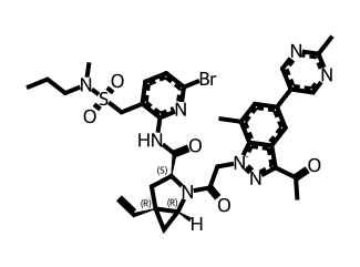 C=C[C@@]12C[C@@H](C(=O)Nc3nc(Br)ccc3CS(=O)(=O)N(C)CCC)N(C(=O)Cn3nc(C(C)=O)c4cc(-c5cnc(C)nc5)cc(C)c43)[C@@H]1C2